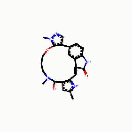 Cc1cc2c([nH]1)/C=C1\C(=O)Nc3ccc(cc31)-c1cnn(C)c1OCCCN(C)C2O